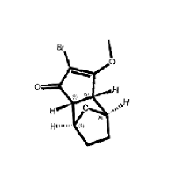 COC1=C(Br)C(=O)[C@@H]2[C@H]1[C@H]1CC[C@@H]2O1